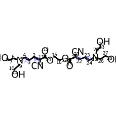 N#C/C(=C\C=C\N(CCO)CCO)C(=O)OCCOC(=O)/C(C#N)=C/C=C/N(CCO)CCO